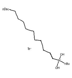 CCCCCCCCCCCCCCCCCCCC[N+](O)(O)CCCC.[Br-]